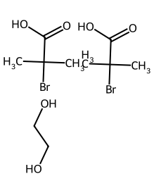 CC(C)(Br)C(=O)O.CC(C)(Br)C(=O)O.OCCO